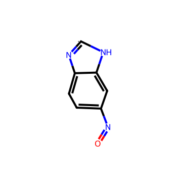 O=Nc1ccc2n[c][nH]c2c1